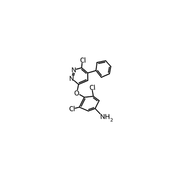 Nc1cc(Cl)c(Oc2cc(-c3ccccc3)c(Cl)nn2)c(Cl)c1